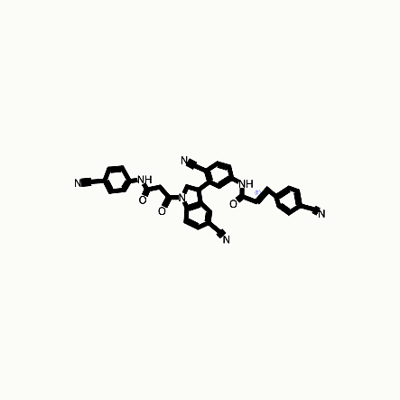 N#Cc1ccc(/C=C/C(=O)Nc2ccc(C#N)c(C3CN(C(=O)CC(=O)Nc4ccc(C#N)cc4)c4ccc(C#N)cc43)c2)cc1